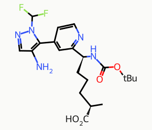 C[C@H](CCC[C@H](NC(=O)OC(C)(C)C)c1cc(-c2c(N)cnn2C(F)F)ccn1)C(=O)O